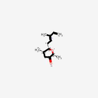 C=C/C(C)=C/C[C@@H]1O[C@H](C)C(=O)C[C@@H]1C